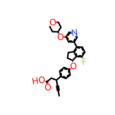 CC#CC(CC(=O)O)c1ccc(O[C@@H]2CCc3c(-c4cncc(OC5CCOCC5)c4)ccc(F)c32)cc1